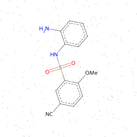 COc1ccc(C#N)cc1S(=O)(=O)Nc1ccccc1N